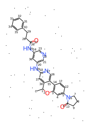 CC1Oc2cc(N3CCCC3=O)ccc2-c2cnc(Nc3cncc(NC(=O)CCc4ccccc4)c3)cc21